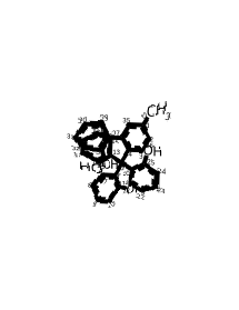 Cc1ccc(C(c2ccccc2O)(c2ccccc2O)c2ccccc2O)c(-c2ccccc2O)c1